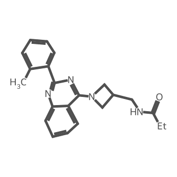 CCC(=O)NCC1CN(c2nc(-c3ccccc3C)nc3ccccc23)C1